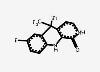 CC(C)C1(C(F)(F)F)c2cc(F)ccc2Nc2c1cc[nH]c2=O